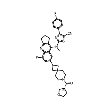 CN(c1nc(-c2ccc(F)cc2)c(C#N)s1)c1c2c(nc3c(F)cc(N4CC5(CCN(C(=O)[C@@H]6CCOC6)CC5)C4)cc13)CCC2